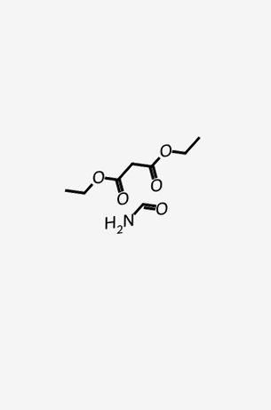 CCOC(=O)CC(=O)OCC.NC=O